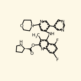 Cc1c(OC(=O)[C@H]2CCCN2)nc2cc(F)cc(F)c2c1Nc1cc(N2CCOCC2)ncc1-c1cncnc1